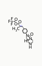 C/C(=C\c1ccc(N2C[C@@H]3CNCCN3C2=O)cc1)C(=O)OC(=O)C(F)(F)F